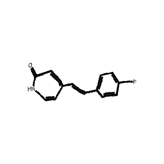 O=c1cc(/C=C/c2ccc(F)cc2)cc[nH]1